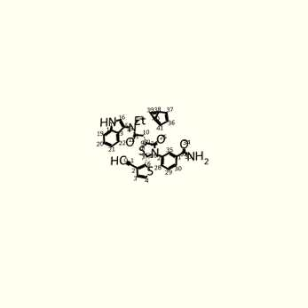 C#Cc1ccsc1[C@@H]1S[C@H](CC(=O)N(CC)c2c[nH]c3ccccc23)C(=O)N1c1cccc(C(N)=O)c1.c1cc2cc-2c1